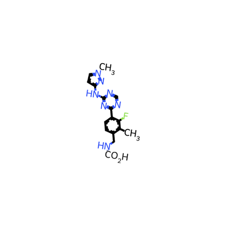 Cc1c(CNC(=O)O)ccc(-c2ncnc(Nc3ccn(C)n3)n2)c1F